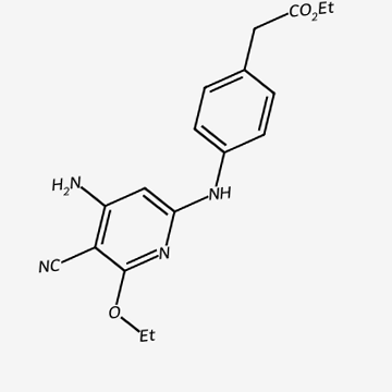 CCOC(=O)Cc1ccc(Nc2cc(N)c(C#N)c(OCC)n2)cc1